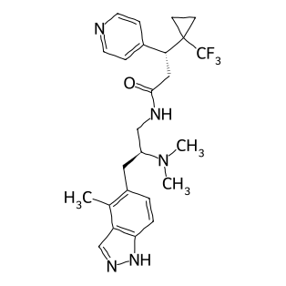 Cc1c(C[C@@H](CNC(=O)C[C@H](c2ccncc2)C2(C(F)(F)F)CC2)N(C)C)ccc2[nH]ncc12